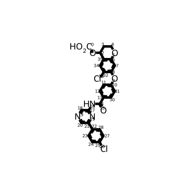 O=C(O)OC1CCOc2cc(Oc3ccc(C(=O)Nc4cncc(-c5ccc(Cl)cc5)n4)cc3)c(Cl)cc21